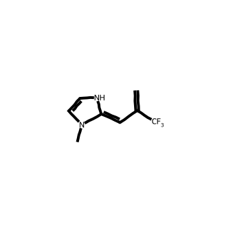 C=C(/C=C1\NC=CN1C)C(F)(F)F